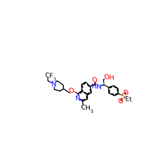 CCS(=O)(=O)c1ccc([C@H](CO)NC(=O)c2ccc3c(OCC4CCN(CC(F)(F)F)CC4)nc(C)cc3c2)cc1